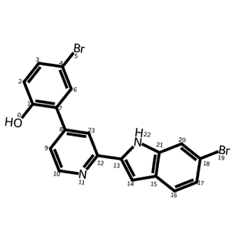 Oc1ccc(Br)cc1-c1ccnc(-c2cc3ccc(Br)cc3[nH]2)c1